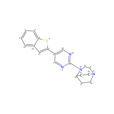 c1ccc2sc(-c3cnc(N4CCN5CCC4CC5)nc3)cc2c1